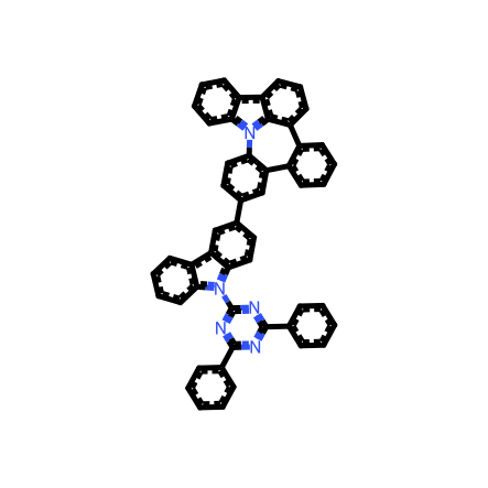 c1ccc(-c2nc(-c3ccccc3)nc(-n3c4ccccc4c4cc(-c5ccc6c(c5)-c5ccccc5-c5cccc7c8ccccc8n-6c57)ccc43)n2)cc1